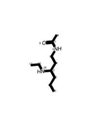 CCCC(CCNC(C)=O)NCC